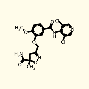 COc1ccc(C(=O)Nc2c(Cl)cncc2Cl)cc1OCC1=NOC(C)(C(N)=O)C1